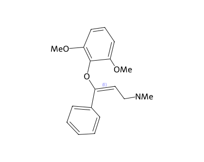 CNC/C=C(/Oc1c(OC)cccc1OC)c1ccccc1